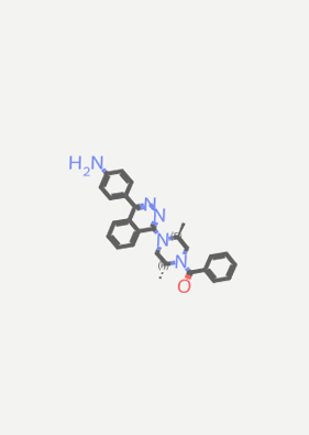 C[C@@H]1CN(c2nnc(-c3ccc(N)cc3)c3ccccc23)[C@@H](C)CN1C(=O)c1ccccc1